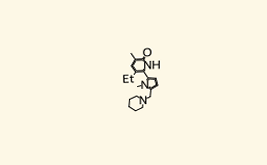 CCc1cc(C)c(=O)[nH]c1-c1ccc(CN2CCCCC2)n1C